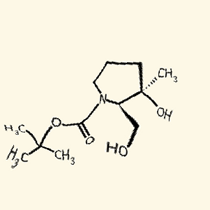 CC(C)(C)OC(=O)N1CCC[C@@](C)(O)[C@H]1CO